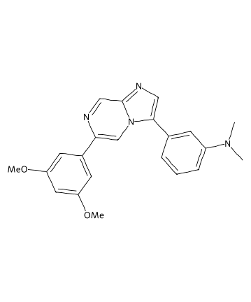 COc1cc(OC)cc(-c2cn3c(-c4cccc(N(C)C)c4)cnc3cn2)c1